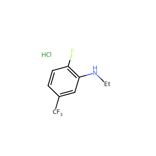 CCNc1cc(C(F)(F)F)ccc1F.Cl